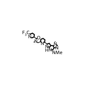 CNc1nc2[nH]c(-c3cccc(CN(C)C(=O)c4ccc(C(F)(F)F)nc4)n3)cc2c2c1ncn2C